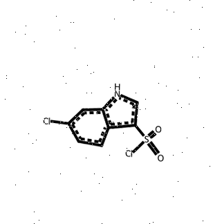 O=S(=O)(Cl)c1c[nH]c2cc(Cl)ccc12